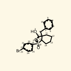 O=C(O)C1(Cc2ccccc2)CCCCC1S(=O)(=O)c1ccc(Br)cc1